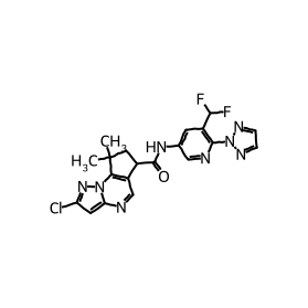 CC1(C)CC(C(=O)Nc2cnc(-n3nccn3)c(C(F)F)c2)c2cnc3cc(Cl)nn3c21